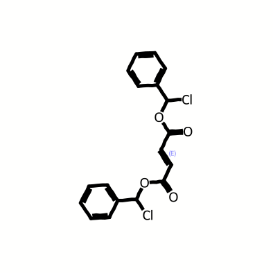 O=C(/C=C/C(=O)OC(Cl)c1ccccc1)OC(Cl)c1ccccc1